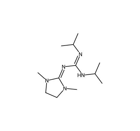 CC(C)/N=C(\N=C1N(C)CCN1C)NC(C)C